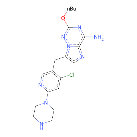 CCCCOc1nc(N)c2ncc(Cc3cnc(N4CCNCC4)cc3Cl)n2n1